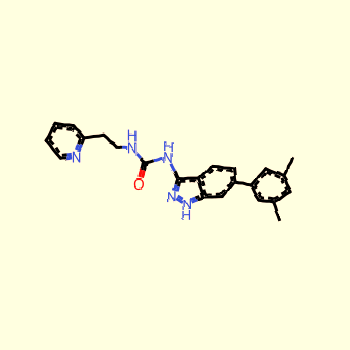 Cc1cc(C)cc(-c2ccc3c(NC(=O)NCCc4ccccn4)n[nH]c3c2)c1